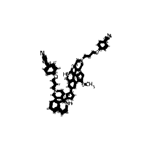 COC1CCC(C2(C3CCN(CCCOc4ccc(C#N)cc4)CC3)C(=O)NCc3cc(C4CCC(C5(C6CCN(CCCOc7ccc(C#N)cc7)CC6)NCCc6ccccc65)C4)ccc32)C1